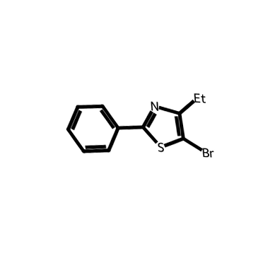 CCc1nc(-c2ccccc2)sc1Br